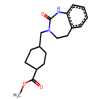 COC(=O)C1CCC(CN2CCc3ccccc3NC2=O)CC1